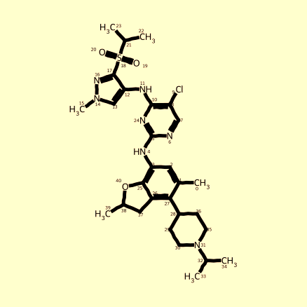 Cc1cc(Nc2ncc(Cl)c(Nc3cn(C)nc3S(=O)(=O)C(C)C)n2)c2c(c1C1CCN(C(C)C)CC1)CC(C)O2